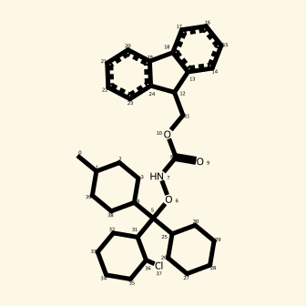 CC1CCC(C(ONC(=O)OCC2c3ccccc3-c3ccccc32)(C2CCCCC2)C2CCCCC2Cl)CC1